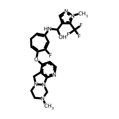 CN1CCN2Cc3c(OC4=CCC=C(NC(O)c5cnn(C)c5C(F)(F)F)C=C4F)ccnc3N2C1